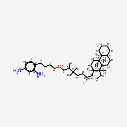 CC(COCCCCc1ccc(N)cc1N)C(C)(C)CC[C@@H](C)[C@H]1CC[C@H]2[C@@H]3CCC4CCCC[C@]4(C)[C@H]3CC[C@]12C